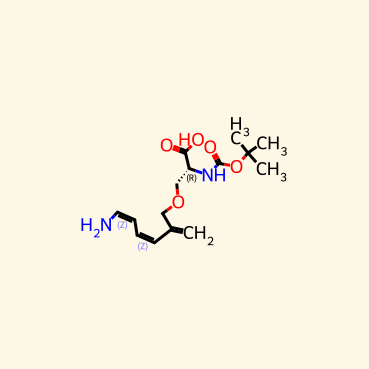 C=C(/C=C\C=C/N)COC[C@@H](NC(=O)OC(C)(C)C)C(=O)O